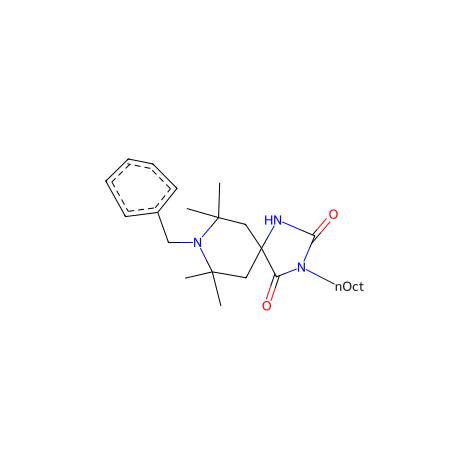 CCCCCCCCN1C(=O)NC2(CC(C)(C)N(Cc3ccccc3)C(C)(C)C2)C1=O